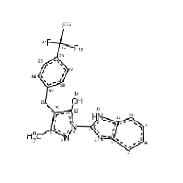 Cc1nn(-c2nc3ccccc3[nH]2)c(O)c1Cc1ccc(C(F)(F)F)cc1